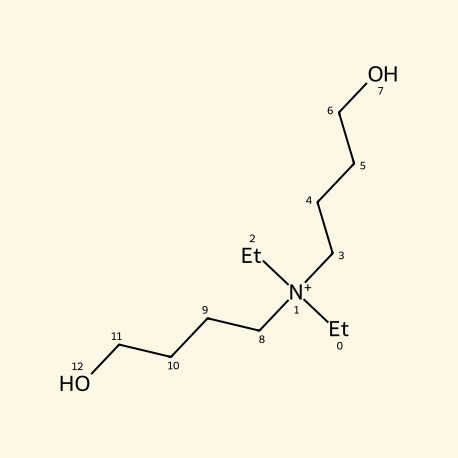 CC[N+](CC)(CCCCO)CCCCO